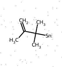 C=C(C)[C](C)(C)[Sn]